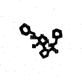 O=C(NCc1ccccc1)C1CCCN1c1ncnc(NCc2ccccc2)c1Br